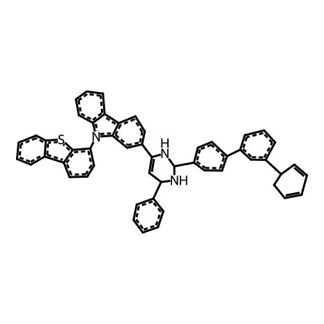 C1=CCC(c2cccc(-c3ccc(C4NC(c5ccc6c7ccccc7n(-c7cccc8c7sc7ccccc78)c6c5)=CC(c5ccccc5)N4)cc3)c2)C=C1